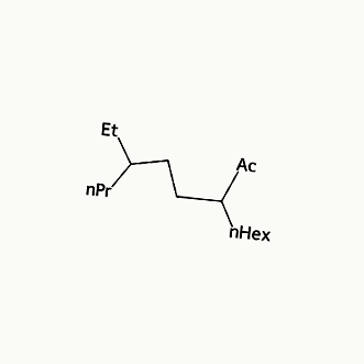 CCCCCCC(CCC(CC)CCC)C(C)=O